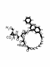 C=C[C@@H]1C[C@]1(NC(=O)[C@@H]1C[C@@H]2CN1C(=O)[C@H](CCCC)NC(=O)OCCCCC/C=C\c1ccc3nc(-c4ccccc4)cc(c3c1)O2)C(=O)O